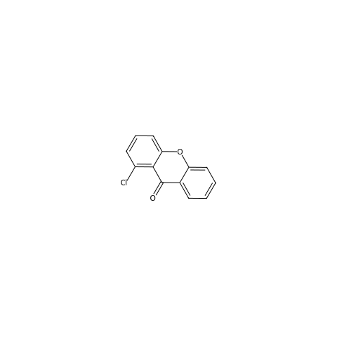 O=c1c2ccccc2oc2cccc(Cl)c12